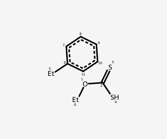 CCOC(=S)S.CCc1ccccc1